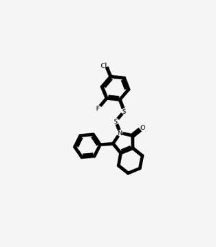 O=C1C2=C(CCCC2)C(c2ccccc2)N1SSc1ccc(Cl)cc1F